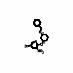 O=[N+]([O-])c1cc(Br)cnc1O[C@@H]1CCC[C@@H](OCc2ccccc2)C1